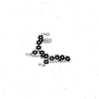 CCCCCCCCC1(CCCCCCCC)c2cc(C=O)ccc2-c2ccc(-c3ccc(N(c4ccc(C)cc4)c4ccc5c(c4)C(CCCCCCCC)(CCCCCCCC)c4cc(N(c6ccc(C)cc6)c6ccc(-c7ccc8c(c7)C(CCCCCCCC)(CCCCCCCC)c7cc(-c9ccccc9)ccc7-8)cc6)ccc4-5)cc3)cc21